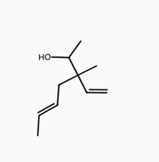 C=CC(C)(C/C=C/C)C(C)O